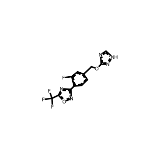 Fc1cc(COc2nc[nH]n2)ccc1-c1noc(C(F)(F)F)n1